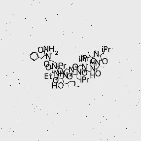 C/C=C/C[C@H](C)[C@H](O)C(C(=O)N[C@H](CC)C(=O)N(C)CC(=O)N(C)[C@@H](Cc1ccccc1)C(N)=O)N(C)C(=O)[C@@H](C(C)C)N(C)C(=O)[C@@H](CC(C)C)N(C)C(=O)[C@H](CC(C)C)N(C)C(=O)[C@H](C)NC(=O)[C@@H](C)NC(=O)[C@H](CC(C)C)N(C)C(=O)[C@H](C)C(C)C